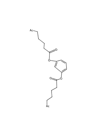 CC(=O)CCCCC(=O)Oc1cccc(OC(=O)CCCCC(C)=O)c1